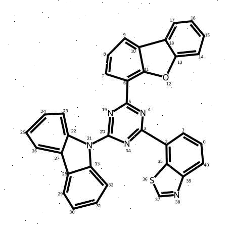 c1cc(-c2nc(-c3cccc4c3oc3ccccc34)nc(-n3c4ccccc4c4ccccc43)n2)c2scnc2c1